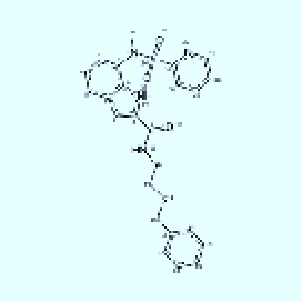 CN(c1cccc2cc(C(=O)NCCSCc3ccccc3)[nH]c12)S(=O)(=O)c1ccccn1